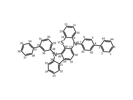 c1ccc(-c2ccc(N3c4ccccc4Sc4c3ccc3c5ccccc5n(-c5cccc(-c6ccccc6)c5)c43)cc2)cc1